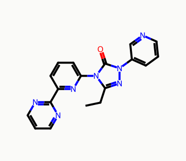 CCc1nn(-c2cccnc2)c(=O)n1-c1cccc(-c2ncccn2)n1